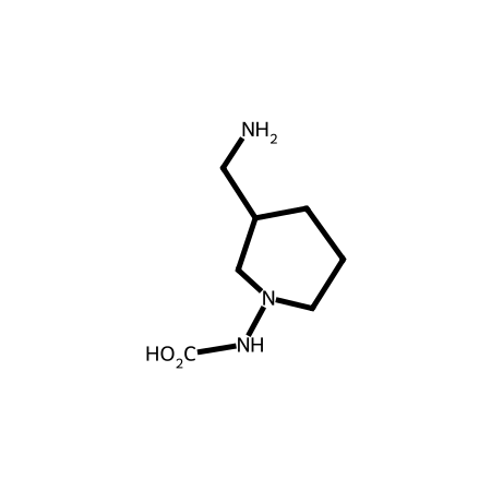 NCC1CCCN(NC(=O)O)C1